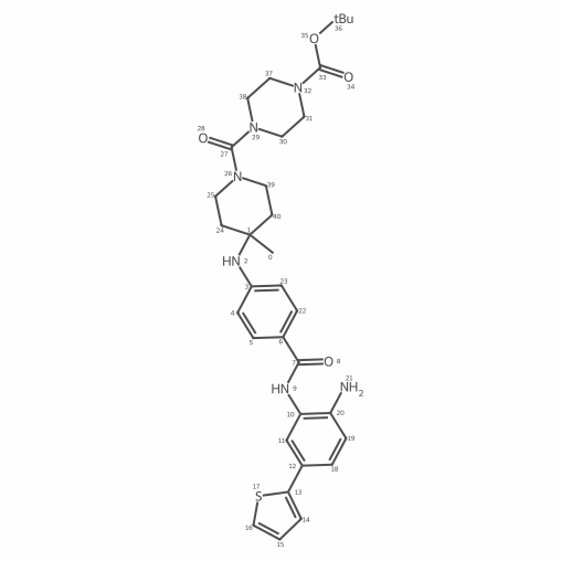 CC1(Nc2ccc(C(=O)Nc3cc(-c4cccs4)ccc3N)cc2)CCN(C(=O)N2CCN(C(=O)OC(C)(C)C)CC2)CC1